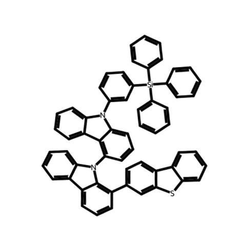 c1ccc([Si](c2ccccc2)(c2ccccc2)c2cccc(-n3c4ccccc4c4c(-n5c6ccccc6c6cccc(-c7ccc8c(c7)sc7ccccc78)c65)cccc43)c2)cc1